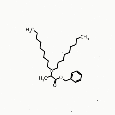 CCCCCCCCCN(CCCCCCCCC)C(C)C(=O)OCc1ccccc1